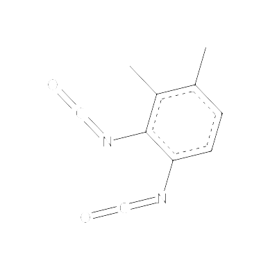 Cc1ccc(N=C=O)c(N=C=O)c1C